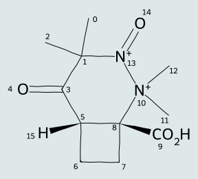 CC1(C)C(=O)[C@H]2CC[C@@]2(C(=O)O)[N+](C)(C)[N+]1=O